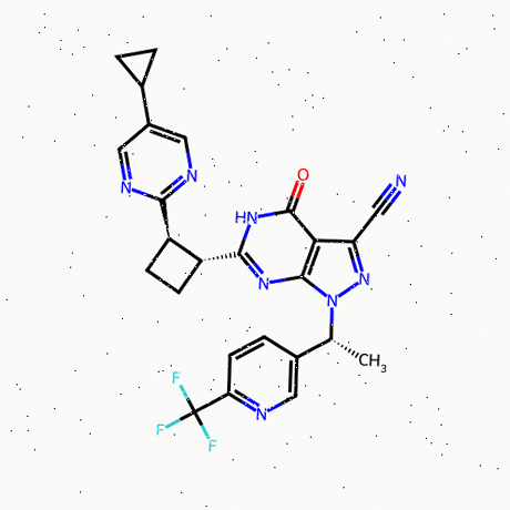 C[C@H](c1ccc(C(F)(F)F)nc1)n1nc(C#N)c2c(=O)[nH]c([C@@H]3CC[C@H]3c3ncc(C4CC4)cn3)nc21